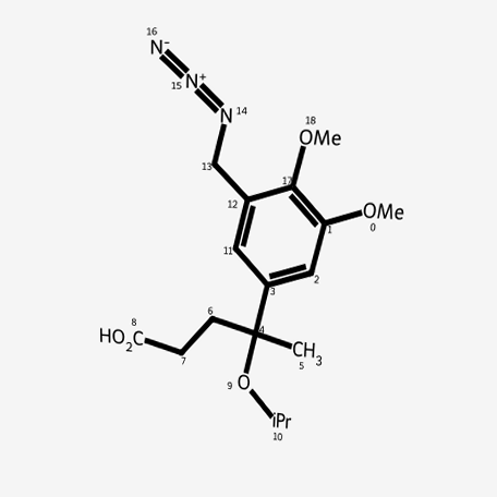 COc1cc(C(C)(CCC(=O)O)OC(C)C)cc(CN=[N+]=[N-])c1OC